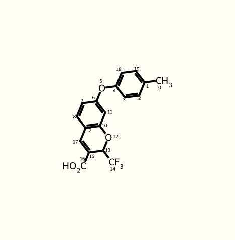 Cc1ccc(Oc2ccc3c(c2)OC(C(F)(F)F)C(C(=O)O)=C3)cc1